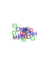 CONC(=O)[C@H]1[C@@H](C(=O)Nc2cc(Cl)cc(Cl)c2)[C@H]2CCCN2C12C(=O)Nc1c(Cl)cc(Cl)cc12